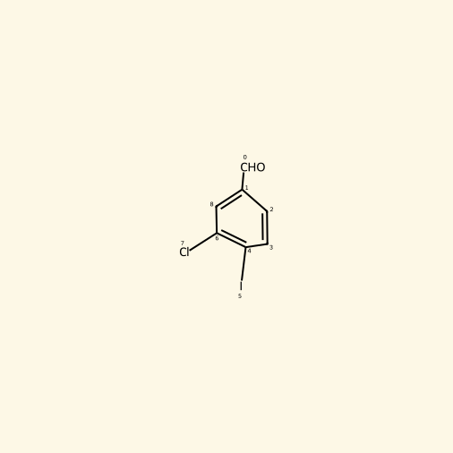 O=Cc1ccc(I)c(Cl)c1